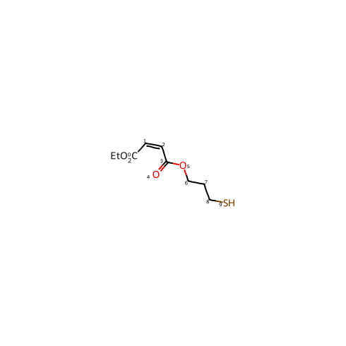 CCOC(=O)/C=C\C(=O)OCCCS